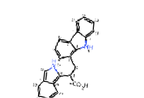 O=C(O)C(Cc1cccc2c1[nH]c1ccccc12)c1[nH]cc2ccccc12